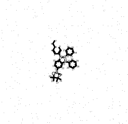 C/C=C(\C=C/CCC)N1c2ccc(B3OC(C)(C)C(C)(C)O3)cc2N(c2ccccc2)P1c1ccccc1